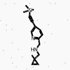 CC1(CNCc2ccc(C#C[Si](C)(C)C)cn2)CC1